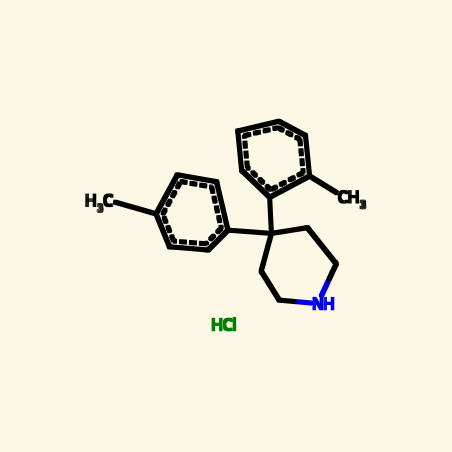 Cc1ccc(C2(c3ccccc3C)CCNCC2)cc1.Cl